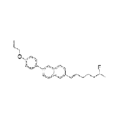 C=CCOc1ccc(-c2ccc3cc(/C=C/CCCC(C)F)ccc3c2)cc1